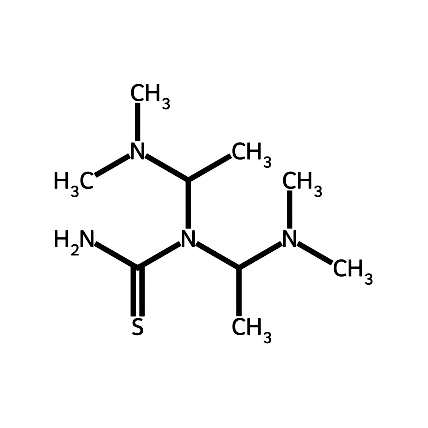 CC(N(C)C)N(C(N)=S)C(C)N(C)C